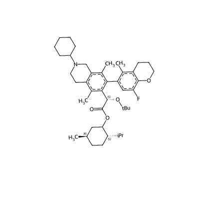 Cc1c(-c2c(C)c3c(c(C)c2[C@H](OC(C)(C)C)C(=O)OC2C[C@H](C)CC[C@H]2C(C)C)CCN(C2CCCCC2)C3)cc(F)c2c1CCCO2